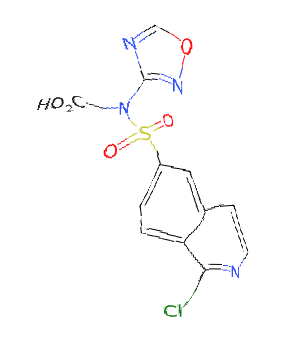 O=C(O)N(c1ncon1)S(=O)(=O)c1ccc2c(Cl)nccc2c1